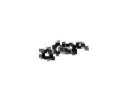 CCCCCCCCCC(CCC[C@H]1CC[C@H](C2CCCCC2)CC1)C(F)(F)F